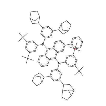 CC(C)(C)c1cc(N(c2cc(C3CC4CCC3C4)cc(C3CC4CCC3C4)c2)c2c3ccccc3c(N(c3cc(C4CC5CCC4C5)cc(C4CC5C6CCC4C65)c3)c3cc(C(C)(C)C)cc(C(C)(C)C)c3)c3cc(-c4ccccc4)ccc23)cc(C(C)(C)C)c1